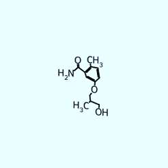 Cc1ccc(OCC(C)CO)cc1C(N)=O